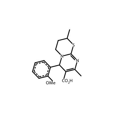 COc1ccccc1C1C(C(=O)O)=C(C)N=C2SC(C)CCN21